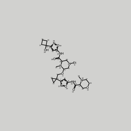 CCN1CC(OCC2(c3cc(NC(=O)C4COCCN4C)on3)CC2)N(C)C(C(=O)Nc2cc(C3(O)CCC3)no2)C1